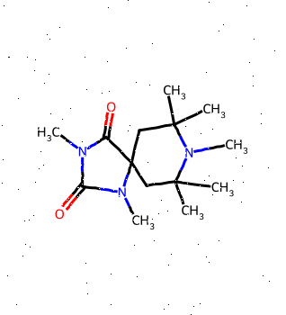 CN1C(=O)N(C)C2(CC(C)(C)N(C)C(C)(C)C2)C1=O